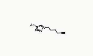 C#CCCCCn1cc(C(C)=O)nn1